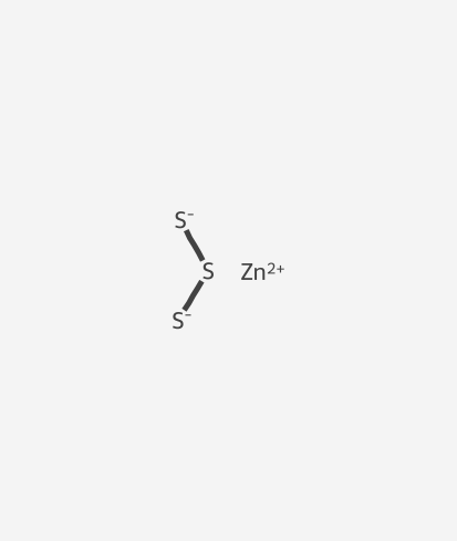 [S-]S[S-].[Zn+2]